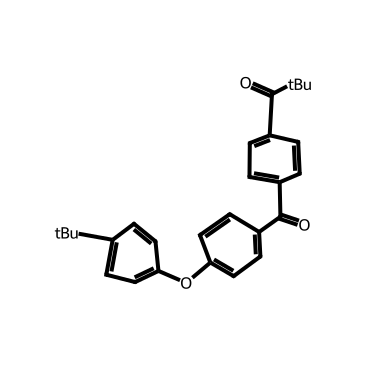 CC(C)(C)C(=O)c1ccc(C(=O)c2ccc(Oc3ccc(C(C)(C)C)cc3)cc2)cc1